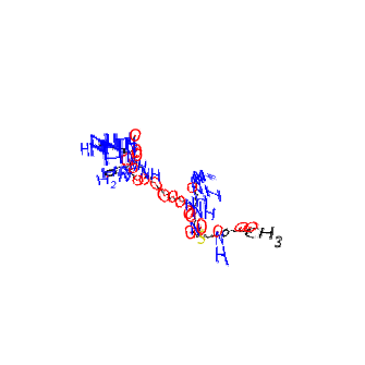 CC(=O)CC(=O)CCc1ccc(NC(=O)CCCCSC2CC(=O)N(CCC(=O)NC(CCCCNC(=O)CN=[N+]=[N-])C(=O)NCCOCCOCCOCCOCCC(=O)NCCCC[C@H](NC(=O)[C@@H](Cc3ccccc3)NC(=O)[C@@H](N)CC=O)C(=O)N[C@@H](CCCNC(=N)N)C(=O)NCC=O)C2=O)cc1